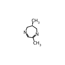 CC1=NC[C@H](C)CN=C1